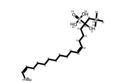 CCCC/C=C\CCCCCCCC/C=C\CCCC(O)(C[N+](C)(C)C)P(=O)(O)O